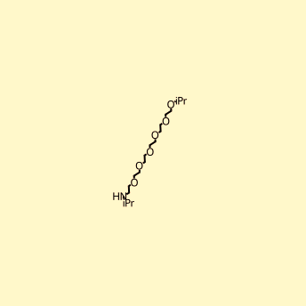 CC(C)NCCOCCOCCOCCOCCOCCOC(C)C